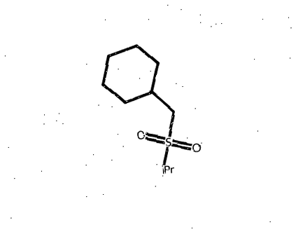 CC(C)S(=O)(=O)CC1CCCCC1